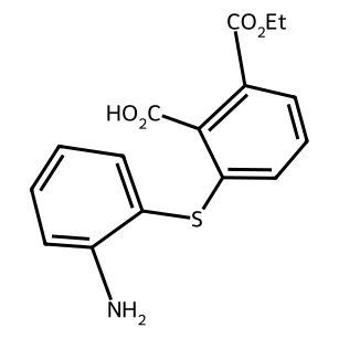 CCOC(=O)c1cccc(Sc2ccccc2N)c1C(=O)O